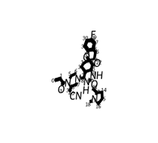 C=CC(=O)N1CCN(C2NC(OCC3CCCN3C)NC3C(=O)[C@]4(CCc5cc(F)ccc5O4)CCC32)CC1CC#N